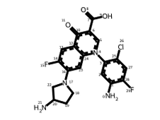 Nc1cc(-n2cc(C(=O)O)c(=O)c3cc(F)c(N4CCC(N)C4)cc32)c(Cl)cc1F